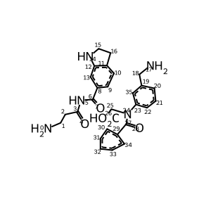 NCCC(=O)NC(=O)c1ccc2c(c1)NCC2.NCc1cccc(N(CC(=O)O)C(=O)c2ccccc2)c1